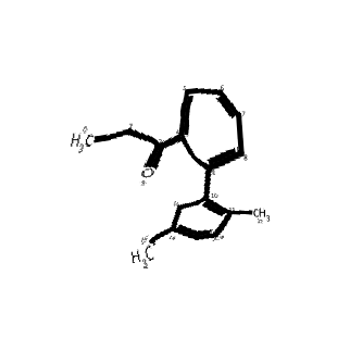 CCC(=O)c1ccccc1C1=C(C)C=C(C)C1